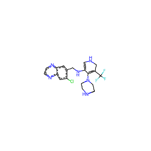 FC(F)(F)C1=C(N2CCNCC2)C(NCc2cc3nccnc3cc2Cl)=CNC1